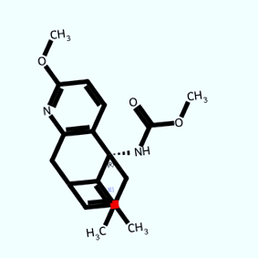 C/C=C1\C2C=C(C)C[C@]1(NC(=O)OC)c1ccc(OC)nc1C2